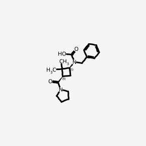 CC1(C)[C@@H](N(Cc2ccccc2)C(=O)O)C[C@H]1C(=O)N1CCCC1